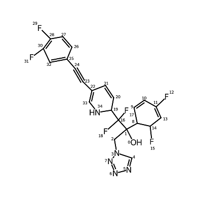 OC(Cn1cnnn1)(C1C=CC(F)=CC1F)C(F)(F)C1C=CC(C#Cc2ccc(F)c(F)c2)=CN1